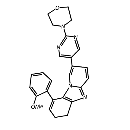 COc1ccccc1C1=CCCc2nc3ccc(-c4cnc(N5CCOCC5)nc4)cn3c21